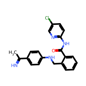 CC(=N)c1ccc(NCc2ccccc2C(=O)Nc2ccc(Cl)cn2)cc1